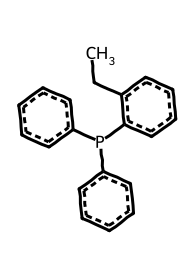 CCc1ccccc1P(c1ccccc1)c1ccccc1